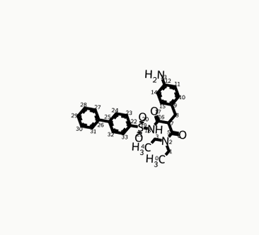 CCN(CC)C(=O)C(Cc1ccc(N)cc1)C(=O)NS(=O)(=O)c1ccc(-c2ccccc2)cc1